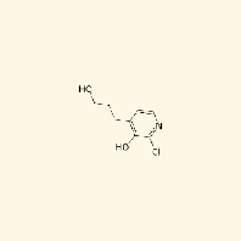 OCCCc1ccnc(Cl)c1O